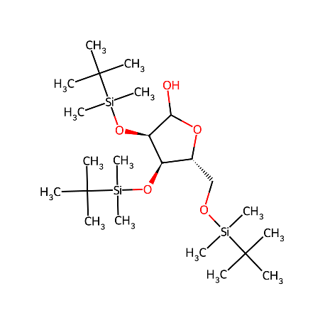 CC(C)(C)[Si](C)(C)OC[C@H]1OC(O)[C@H](O[Si](C)(C)C(C)(C)C)[C@@H]1O[Si](C)(C)C(C)(C)C